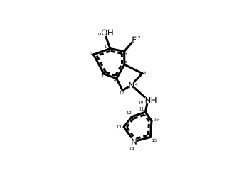 Oc1ccc2c(c1F)CN(Nc1ccncc1)C2